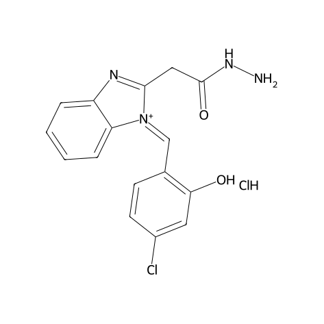 Cl.NNC(=O)CC1=Nc2ccccc2[N+]1=Cc1ccc(Cl)cc1O